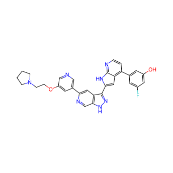 Oc1cc(F)cc(-c2ccnc3[nH]c(-c4n[nH]c5cnc(-c6cncc(OCCN7CCCC7)c6)cc45)cc23)c1